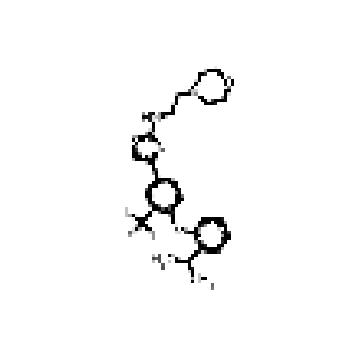 CC(C)c1ccccc1Sc1ccc(-c2csc(NCCN3CCOCC3)n2)cc1C(F)(F)F